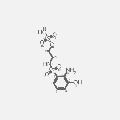 Nc1c(O)cccc1S(=O)(=O)NCCOS(=O)(=O)O